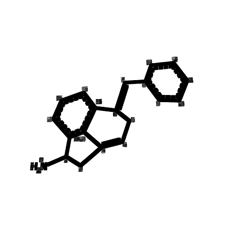 NC1CC2=CCC(=Cc3ccccc3)c3cccc1c32